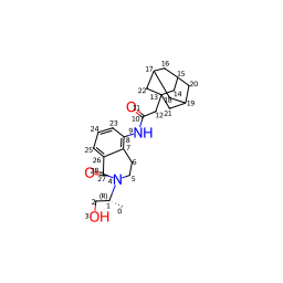 C[C@H](CO)N1CCc2c(NC(=O)CC34CC5CC(CC(C5)C3)C4)cccc2C1=O